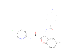 CN(C=O)C1CCC(C(=O)Nc2c(C(=O)Nc3ccc(Cl)cn3)oc3ccc(C(=O)O)cc23)CC1